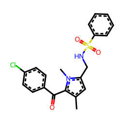 Cc1cc(CNS(=O)(=O)c2ccccc2)n(C)c1C(=O)c1ccc(Cl)cc1